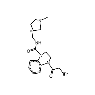 CC(C)CC(=O)N1CCN(C(=O)NC[C@H]2CCN(C)C2)c2ccccc21